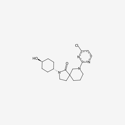 O=C1N([C@H]2CC[C@H](O)CC2)CCC12CCCN(c1nccc(Cl)n1)C2